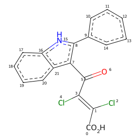 O=C(O)/C(Cl)=C(\Cl)C(=O)c1c(-c2ccccc2)[nH]c2ccccc12